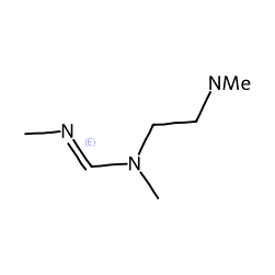 C/N=C/N(C)CCNC